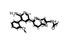 COc1ccccc1-c1cc(-c2ccc3nc(NC(C)=O)cn3n2)cnc1N